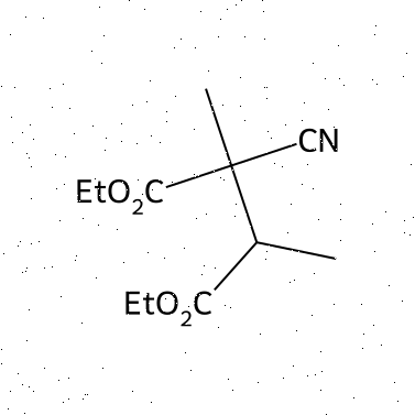 CCOC(=O)C(C)C(C)(C#N)C(=O)OCC